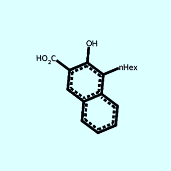 CCCCCCc1c(O)c(C(=O)O)cc2ccccc12